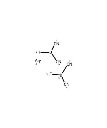 N#CB(F)C#N.N#CB(F)C#N.[Ag]